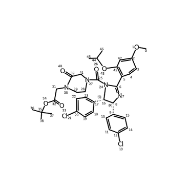 COc1ccc(C2=N[C@H](c3ccc(Cl)cc3)[C@H](c3ccc(Cl)cc3)N2C(=O)N2CCN(CC(=O)OC(C)(C)C)C(=O)C2)c(OC(C)C)c1